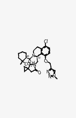 Cn1cc(COc2ccc(Cl)c3c2[C@@H](CN2CC4(CC4)CC2=O)N(C(=O)[C@@H]2CCCC[C@]2(C)C(=O)O)CC3)nn1